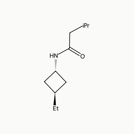 CC[C@H]1C[C@H](NC(=O)CC(C)C)C1